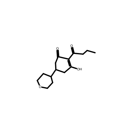 CCCC(=O)C1=C(O)CC(C2CCOCC2)CC1=O